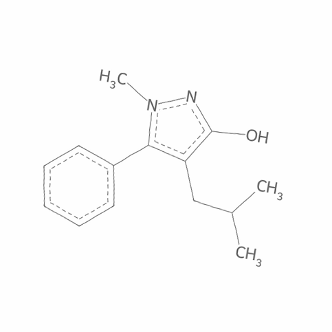 CC(C)Cc1c(O)nn(C)c1-c1ccccc1